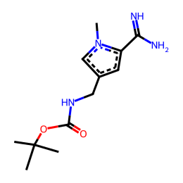 Cn1cc(CNC(=O)OC(C)(C)C)cc1C(=N)N